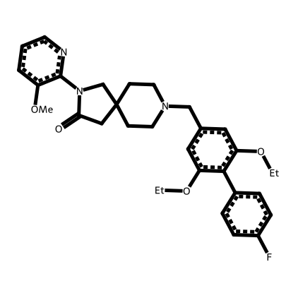 CCOc1cc(CN2CCC3(CC2)CC(=O)N(c2ncccc2OC)C3)cc(OCC)c1-c1ccc(F)cc1